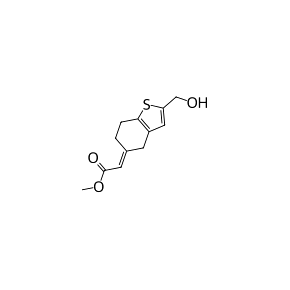 COC(=O)C=C1CCc2sc(CO)cc2C1